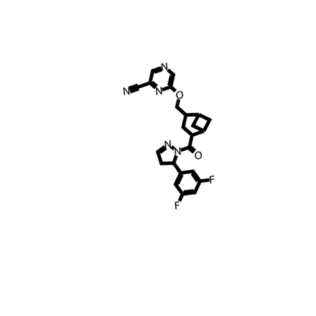 N#Cc1cncc(OCC2CC(C(=O)N3N=CCC3c3cc(F)cc(F)c3)C3CC2C3)n1